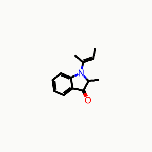 C/C=C(\C)N1c2ccccc2C(=O)C1C